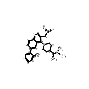 CC(C1CCN(c2c(C[SH](=O)=O)cnc3ccc(-c4ccccc4O)cc23)CC1)N(C)C